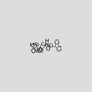 COc1ccccc1-c1cccc(C[C@H](NC(=O)OCC2c3ccccc3-c3ccccc32)C(=O)O)c1